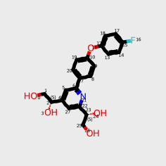 OC[C@@H](O)c1cc(-c2ccc(Oc3ccc(F)cc3)cc2)nc([C@H](O)CO)c1